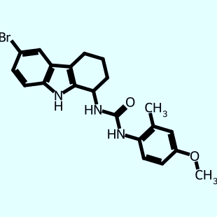 COc1ccc(NC(=O)NC2CCCc3c2[nH]c2ccc(Br)cc32)c(C)c1